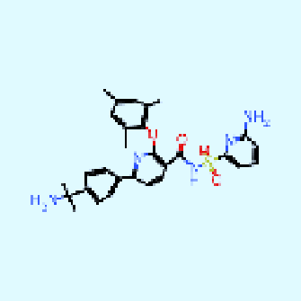 Cc1cc(C)c(Oc2nc(-c3ccc(C(C)(C)N)cc3)ccc2C(=O)NS(=O)(=O)c2cccc(N)n2)c(C)c1